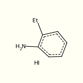 CCc1ccccc1N.I